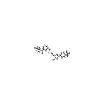 O=S(=O)(Nc1cccc(CCOCc2nc(-c3ccc(C(F)(F)F)cc3)sc2Cl)c1)C(F)(F)F